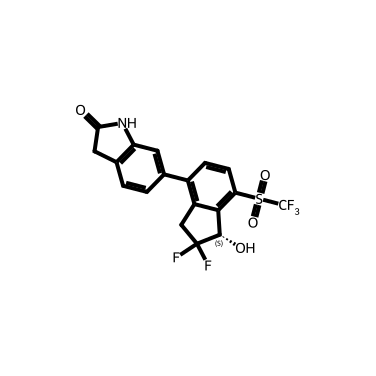 O=C1Cc2ccc(-c3ccc(S(=O)(=O)C(F)(F)F)c4c3CC(F)(F)[C@H]4O)cc2N1